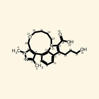 Cc1nn(C)c2c1-c1cccc3c(CCCO)c(C(=O)O)n(c13)CCCCOC2